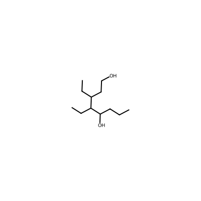 CCCC(O)C(CC)C(CC)CCO